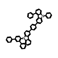 c1ccc(-c2ccc(-n3c4ccccc4c4cc(-c5ccc(-c6ccc7c(c6)c6c(-c8ccccc8)cccc6n7-c6ccccc6)cc5)ccc43)c(-c3ccccc3)c2)cc1